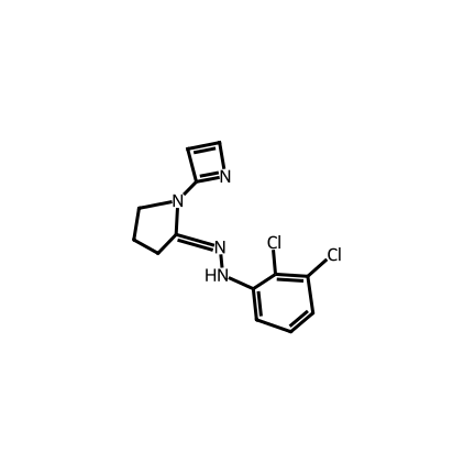 Clc1cccc(NN=C2CCCN2C2=NC=C2)c1Cl